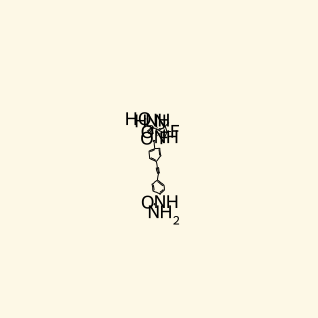 CC(N)(C(F)F)[C@H](NC(=O)c1ccc(C#Cc2ccc(NC(N)=O)cc2)cc1)C(=O)NO